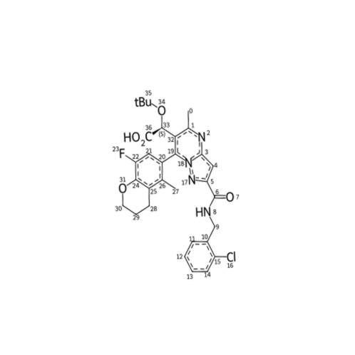 Cc1nc2cc(C(=O)NCc3ccccc3Cl)nn2c(-c2cc(F)c3c(c2C)CCCO3)c1[C@H](OC(C)(C)C)C(=O)O